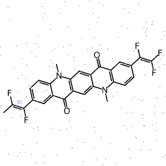 C/C(F)=C(\F)c1ccc2c(c1)c(=O)c1cc3c(cc1n2C)c(=O)c1cc(C(F)=C(F)F)ccc1n3C